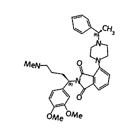 CNCCC[C@H](c1ccc(OC)c(OC)c1)N1C(=O)c2cccc(N3CCN([C@H](C)c4ccccc4)CC3)c2C1=O